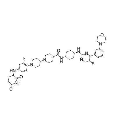 O=C1CCC(Nc2ccc(N3CCC(N4CCC(C(=O)N[C@H]5CC[C@H](Nc6ncc(F)c(-c7cccc(N8CCOCC8)c7)n6)CC5)CC4)CC3)c(F)c2)C(=O)N1